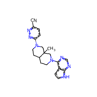 CC12CN(c3ccc(C#N)nn3)CCC1CCN(c1ncnc3[nH]ccc13)C2